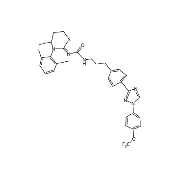 Cc1cccc(C)c1N1/C(=N/C(=O)NCCCc2ccc(-c3ncn(-c4ccc(OC(F)(F)F)cc4)n3)cc2)SCCC1C